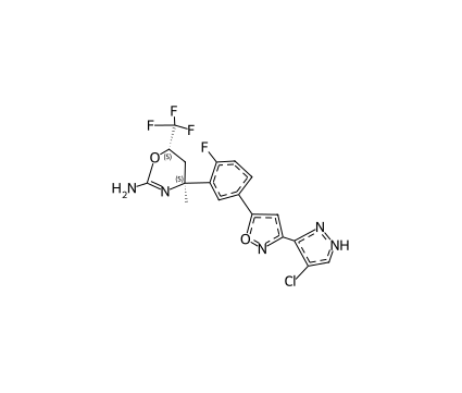 C[C@@]1(c2cc(-c3cc(-c4n[nH]cc4Cl)no3)ccc2F)C[C@@H](C(F)(F)F)OC(N)=N1